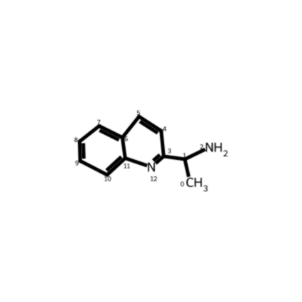 CC(N)c1ccc2ccccc2n1